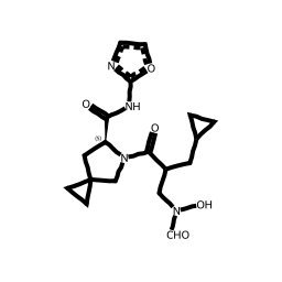 O=CN(O)CC(CC1CC1)C(=O)N1CC2(CC2)C[C@H]1C(=O)Nc1ncco1